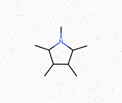 CC1C(C)C(C)N(C)C1C